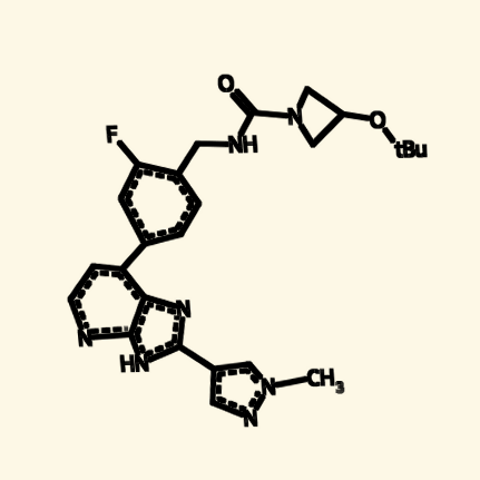 Cn1cc(-c2nc3c(-c4ccc(CNC(=O)N5CC(OC(C)(C)C)C5)c(F)c4)ccnc3[nH]2)cn1